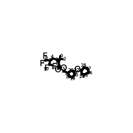 CC1(C)C(C=C(C(F)F)C(F)F)C1C(=O)OCc1cccc(Oc2ccccc2)c1